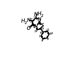 Nc1nc2sc(-c3ccccc3)cn2c(=O)c1N